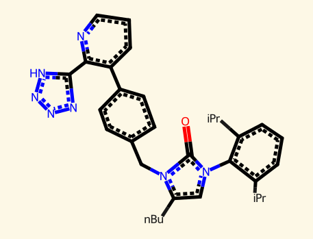 CCCCc1cn(-c2c(C(C)C)cccc2C(C)C)c(=O)n1Cc1ccc(-c2cccnc2-c2nnn[nH]2)cc1